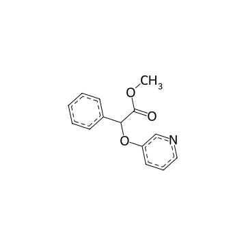 COC(=O)C(Oc1cccnc1)c1ccccc1